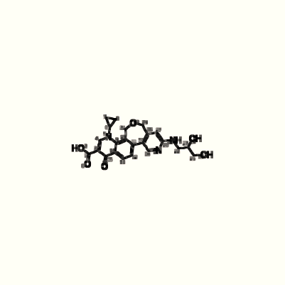 O=C(O)c1cn(C2CC2)c2c3c(ccc2c1=O)-c1cnc(NCC(O)CO)cc1COC3